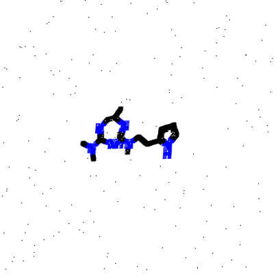 CC1CN=C(N(C)C)NC(N(C)CCc2ccc[nH]2)=N1